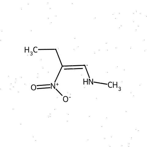 CCC(=[C]NC)[N+](=O)[O-]